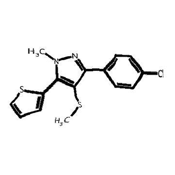 CSc1c(-c2ccc(Cl)cc2)nn(C)c1-c1cccs1